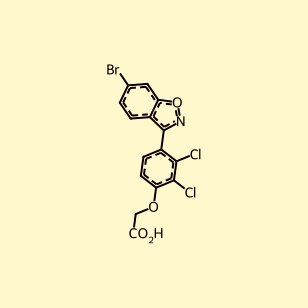 O=C(O)COc1ccc(-c2noc3cc(Br)ccc23)c(Cl)c1Cl